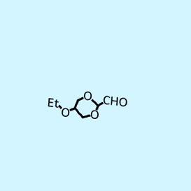 CCOC1COC(C=O)OC1